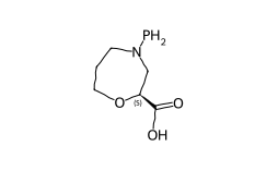 O=C(O)[C@@H]1CN(P)CCCO1